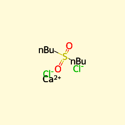 CCCCS(=O)(=O)CCCC.[Ca+2].[Cl-].[Cl-]